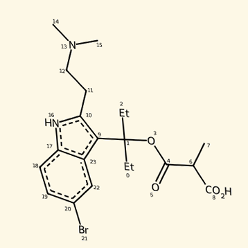 CCC(CC)(OC(=O)C(C)C(=O)O)c1c(CCN(C)C)[nH]c2ccc(Br)cc12